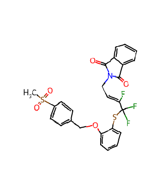 CS(=O)(=O)c1ccc(COc2ccccc2SC(F)(F)C(F)=CCN2C(=O)c3ccccc3C2=O)cc1